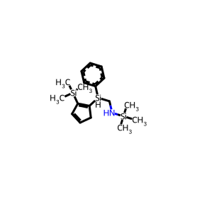 C[Si](C)(C)NC[SiH](C1=C([Si](C)(C)C)C=CC1)c1ccccc1